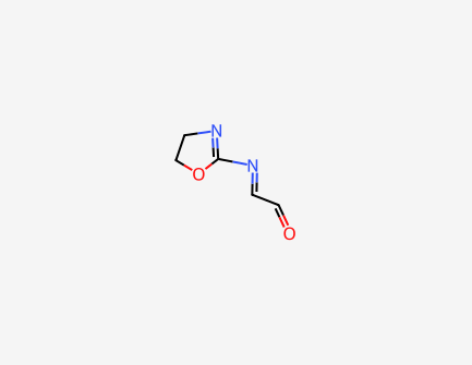 O=CC=NC1=NCCO1